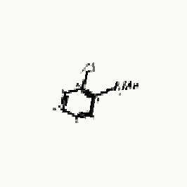 CNc1ccncc1Cl